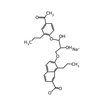 CCCc1cc(C(C)=O)ccc1OC(O)C(O)COc1ccc2ccc(C(=O)[O-])cc2c1CCC.[Na+]